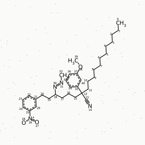 CCCCCCCCCCCCC(C#N)(CCCC(CCc1cccc([N+](=O)[O-])c1)N=NC)c1cccc(OC)c1